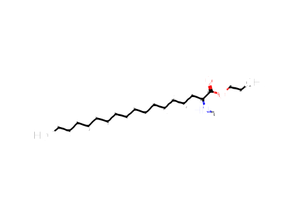 CCCCCCCCCCCCCCCCC(NC)C(=O)OCCC